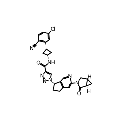 N#Cc1ccc(Cl)cc1[C@H]1C[C@@H](NC(=O)c2cn([C@H]3CCc4cc(N5C[C@H]6C[C@H]6C5=O)ncc43)nn2)C1